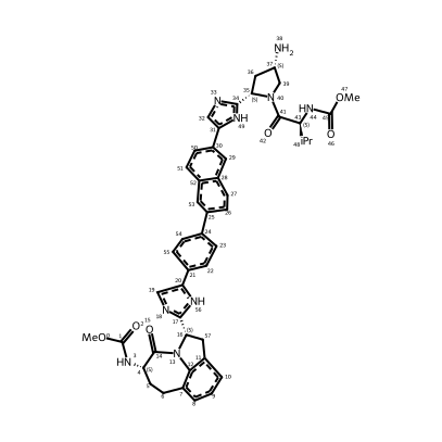 COC(=O)N[C@H]1CCc2cccc3c2N(C1=O)[C@H](c1ncc(-c2ccc(-c4ccc5cc(-c6cnc([C@@H]7C[C@H](N)CN7C(=O)[C@@H](NC(=O)OC)C(C)C)[nH]6)ccc5c4)cc2)[nH]1)C3